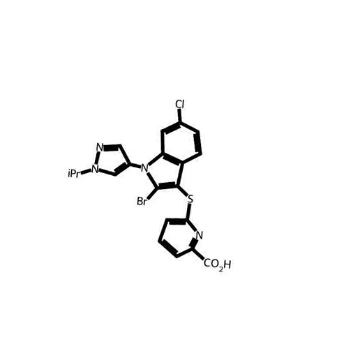 CC(C)n1cc(-n2c(Br)c(Sc3cccc(C(=O)O)n3)c3ccc(Cl)cc32)cn1